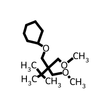 COCC(COC)(COC1CCCCC1)C(C)(C)C